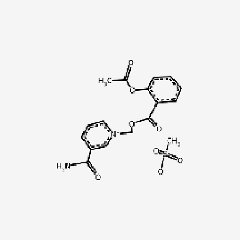 CC(=O)Oc1ccccc1C(=O)OC[n+]1cccc(C(N)=O)c1.CS(=O)(=O)[O-]